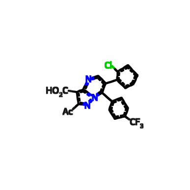 CC(=O)c1nn2c(-c3ccc(C(F)(F)F)cc3)c(-c3ccccc3Cl)cnc2c1C(=O)O